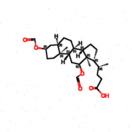 C[C@H](CCC(=O)O)[C@H]1CC[C@H]2[C@@H]3CC[C@@H]4C[C@H](OC=O)CC[C@]4(C)[C@H]3C[C@H](OC=O)[C@]12C